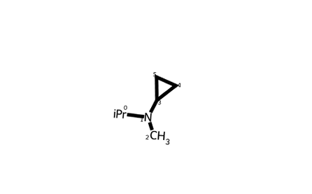 CC(C)N(C)C1CC1